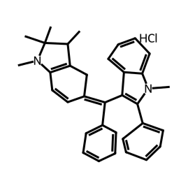 CC1C2=C(C=CC(=C(c3ccccc3)c3c(-c4ccccc4)n(C)c4ccccc34)C2)N(C)C1(C)C.Cl